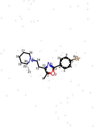 Cc1oc(-c2ccc(Br)cc2)nc1CCN1CCCC[C@H]1C